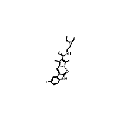 CCN(CC)CCNC(=O)c1c(C)c(/C=C2\C(=O)Nc3ccc(F)cc32)n(C)c1C